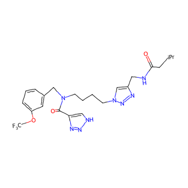 CC(C)CC(=O)NCc1cn(CCCCN(Cc2cccc(OC(F)(F)F)c2)C(=O)c2c[nH]nn2)nn1